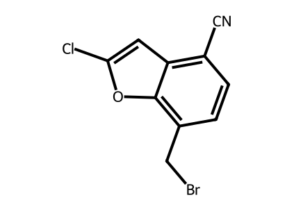 N#Cc1ccc(CBr)c2oc(Cl)cc12